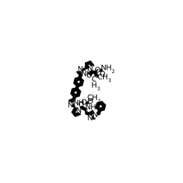 COC(=O)N[C@@H](Cc1cn(Cc2ccccc2)cn1)C(=O)N1CCC[C@H]1c1ncc(-c2ccc(-c3ccc(-c4cnc([C@@H]5CCCN5C(=O)[C@@H](OC(N)=O)C(C)C)[nH]4)cc3)cc2)[nH]1